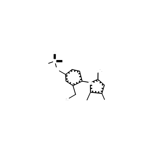 Cc1cc(C#N)n(-c2ccc(OS(C)(=O)=O)cc2CN)c1C